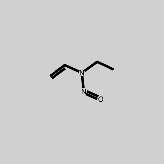 C=CN(CC)N=O